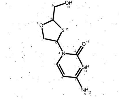 Nc1ccn(C2COC(CO)S2)c(=O)[siH]1